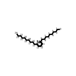 CCCCCCCCCCc1c[c]cc(CCCCCCCCCC)n1